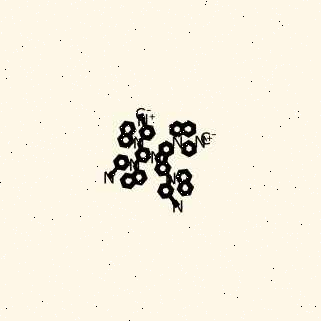 [C-]#[N+]c1cccc(N(c2cc(N(c3cccc(C#N)c3)c3cccc4ccccc34)cc(-n3c4ccc(N(c5cccc(C#N)c5)c5cccc6ccccc56)cc4c4cc(N(c5cccc([N+]#[C-])c5)c5cccc6ccccc56)ccc43)c2)c2cccc3ccccc23)c1